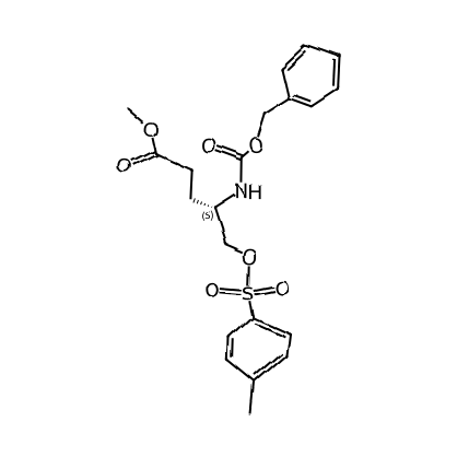 COC(=O)CC[C@@H](COS(=O)(=O)c1ccc(C)cc1)NC(=O)OCc1ccccc1